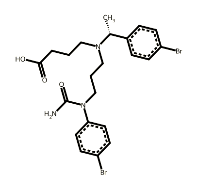 C[C@H](c1ccc(Br)cc1)N(CCCC(=O)O)CCCN(C(N)=O)c1ccc(Br)cc1